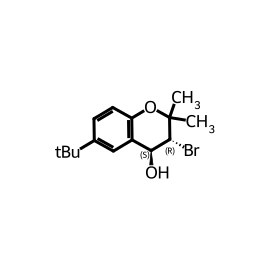 CC(C)(C)c1ccc2c(c1)[C@H](O)[C@@H](Br)C(C)(C)O2